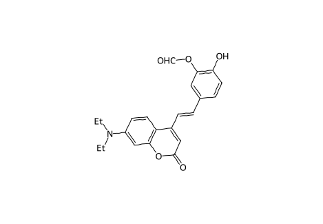 CCN(CC)c1ccc2c(/C=C/c3ccc(O)c(OC=O)c3)cc(=O)oc2c1